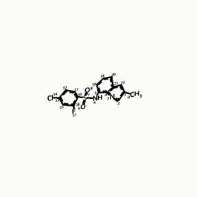 Cc1cnc2c(NS(=O)(=O)c3ccc(Cl)cc3F)cccc2c1